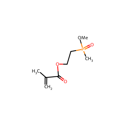 C=C(C)C(=O)OCCP(C)(=O)OC